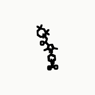 Cc1cc(C(=O)CN2CCCC(C)(C)CC2(C)C)c(C)n1-c1ccc([SH](=O)=O)cc1